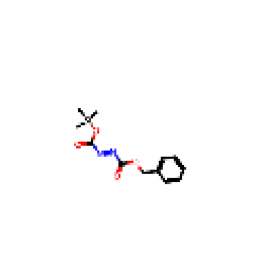 C[Si](C)(C)OC(=O)N=NC(=O)OCc1ccccc1